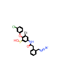 CCc1cc(NC(=O)Cc2ccccc2CN=[N+]=[N-])cc(SO)c1Oc1cccc(Cl)c1